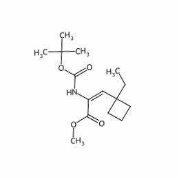 CCC1(/C=C(/NC(=O)OC(C)(C)C)C(=O)OC)CCC1